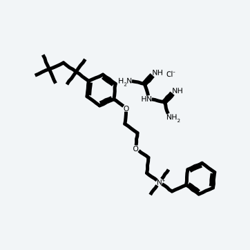 CC(C)(C)CC(C)(C)c1ccc(OCCOCC[N+](C)(C)Cc2ccccc2)cc1.N=C(N)NC(=N)N.[Cl-]